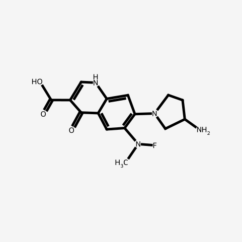 CN(F)c1cc2c(=O)c(C(=O)O)c[nH]c2cc1N1CCC(N)C1